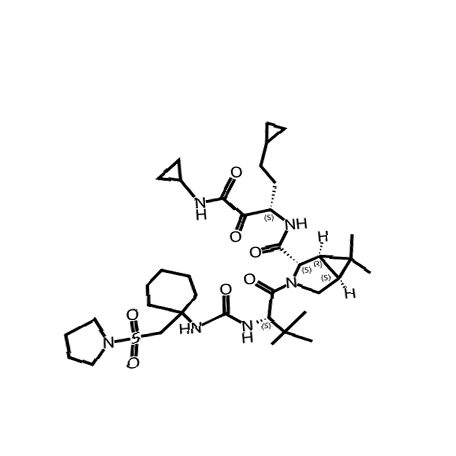 CC(C)(C)[C@H](NC(=O)NC1(CS(=O)(=O)N2CCCC2)CCCCC1)C(=O)N1C[C@H]2[C@@H]([C@H]1C(=O)N[C@@H](CCC1CC1)C(=O)C(=O)NC1CC1)C2(C)C